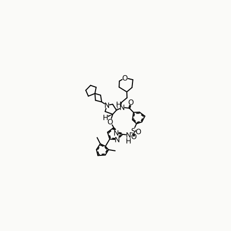 Cc1cccc(C)c1-c1cc2nc(n1)NS(=O)(=O)c1cccc(c1)C(=O)N(CCC1CCOCC1)[C@@H]1CN(C3CC4(CCCC4)C3)C[C@H]1O2